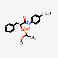 CCOC(C)[PH](=O)O[C@@H](Cc1ccccc1)C(=O)Nc1ccc(C(=O)O)cc1